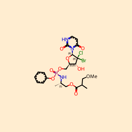 COCC(C)C(=O)OC[C@H](C)NP(=O)(OC[C@H]1O[C@@H](n2c(=O)cc[nH]c2=O)[C@](Cl)(Br)[C@@H]1O)Oc1ccccc1